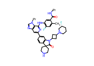 Cc1cc(F)c(Nc2nc(-c3ccc4c(c3)N(C3CC(N5CCC[C@@H](F)C5)C3)C(=O)C43CCNCC3)cc3ncn(C(C)C)c23)cc1C(=O)NC(C)C